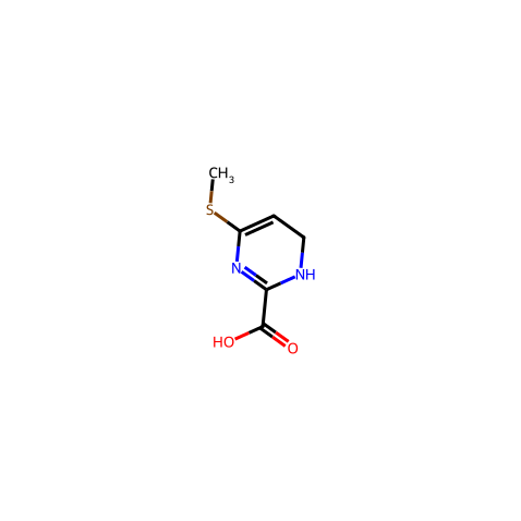 CSC1=CCNC(C(=O)O)=N1